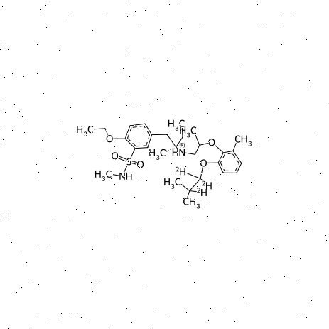 [2H]C(C)(C)C([2H])([2H])Oc1cccc(C)c1OC(C)CN[C@](C)(CC)Cc1ccc(OCC)c(S(=O)(=O)NC)c1